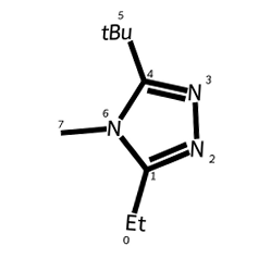 CCc1nnc(C(C)(C)C)n1C